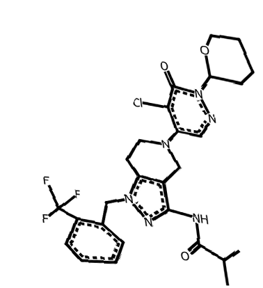 CC(C)C(=O)Nc1nn(Cc2ccccc2C(F)(F)F)c2c1CN(c1cnn(C3CCCCO3)c(=O)c1Cl)CC2